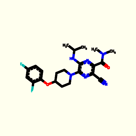 CC(C)Nc1nc(C(=O)N(C)C)c(C#N)nc1N1CCC(Oc2ccc(F)cc2F)CC1